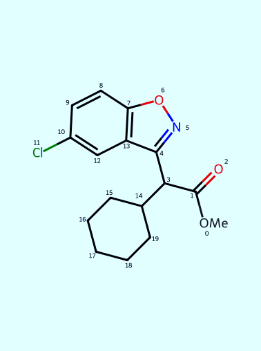 COC(=O)C(c1noc2ccc(Cl)cc12)C1CCCCC1